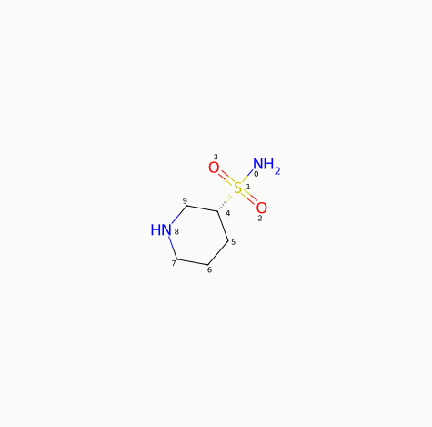 NS(=O)(=O)[C@@H]1CCCNC1